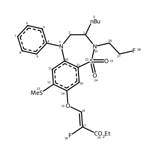 CCCCC1CN(c2ccccc2)c2cc(SC)c(O/C=C(\F)C(=O)OCC)cc2S(=O)(=O)N1CCF